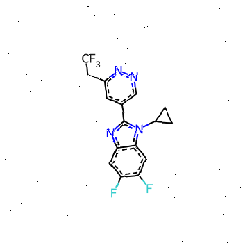 Fc1cc2nc(-c3cnnc(CC(F)(F)F)c3)n(C3CC3)c2cc1F